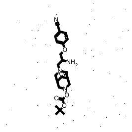 CC(C)(C)OC(=O)ON1CC2CN(CC(N)COc3ccc(C#N)cc3)CC(C1)C2O